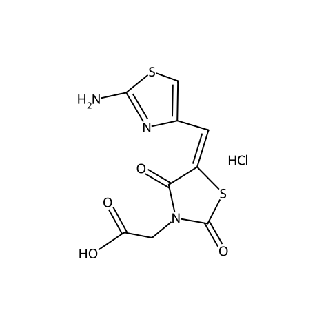 Cl.Nc1nc(C=C2SC(=O)N(CC(=O)O)C2=O)cs1